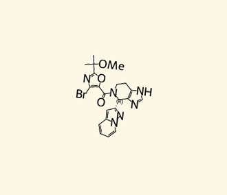 COC(C)(C)c1nc(Br)c(C(=O)N2CCc3[nH]cnc3[C@@H]2c2cc3ccccn3n2)o1